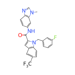 Cn1cnc2ccc(NC(=O)c3cc4cc(C(F)(F)F)ccc4n3Cc3cccc(F)c3)cc21